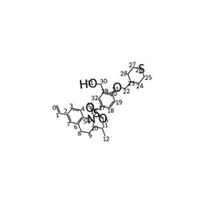 C=Cc1ccc2c(c1)CCC(CC)N2S(=O)(=O)c1ccc(OCC2CCSCC2)c(CO)c1